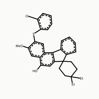 CCC1(CC)CCC2(CC1)c1ccccc1-c1c2cc(O)c2cc(OC)c(Sc3ccccc3Cl)cc12